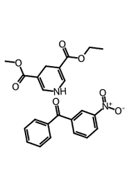 CCOC(=O)C1=CNC=C(C(=O)OC)C1.O=C(c1ccccc1)c1cccc([N+](=O)[O-])c1